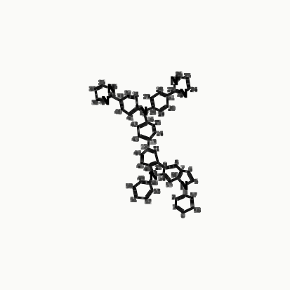 c1ccc(-n2ccc3cc4c5cc(-c6ccc(N(c7ccc(-c8ncccn8)cc7)c7ccc(-c8ncccn8)cc7)cc6)ccc5n(-c5ccccc5)c4cc32)cc1